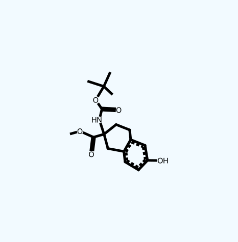 COC(=O)C1(NC(=O)OC(C)(C)C)CCc2cc(O)ccc2C1